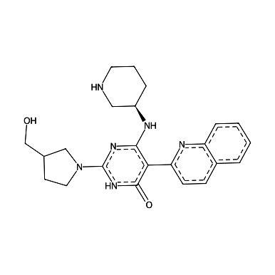 O=c1[nH]c(N2CCC(CO)C2)nc(N[C@@H]2CCCNC2)c1-c1ccc2ccccc2n1